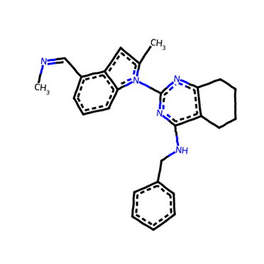 C/N=C\c1cccc2c1cc(C)n2-c1nc2c(c(NCc3ccccc3)n1)CCCC2